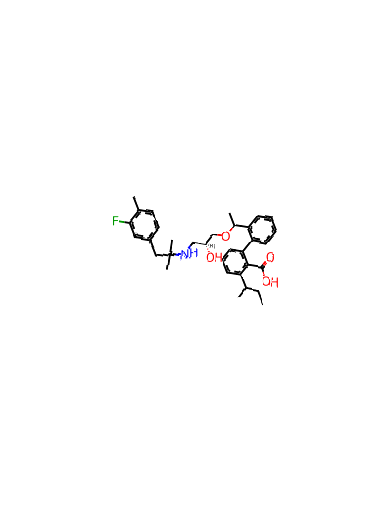 CCC(C)c1cccc(-c2ccccc2C(C)OC[C@H](O)CNC(C)(C)Cc2ccc(C)c(F)c2)c1C(=O)O